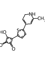 CC1=CC(c2ccc(-c3c(O)c(=O)c3=O)s2)=CCN1